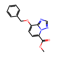 COC(=O)c1ccc(OCc2ccccc2)c2ncnn12